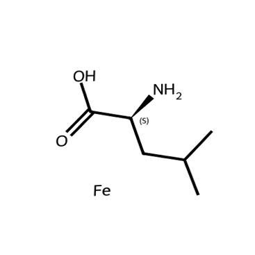 CC(C)C[C@H](N)C(=O)O.[Fe]